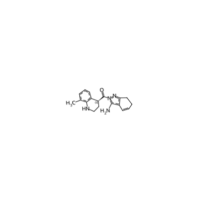 Cc1cccc2c1NCC[C@@H]2C(=O)n1nc2c(c1N)C=CCC2